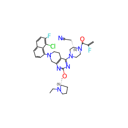 C=C(F)C(=O)N1CCN(c2nc(OC[C@@H]3CCCN3CC)nc3c2CCN(c2cccc4ccc(F)c(Cl)c24)C3)C[C@@H]1CC#N